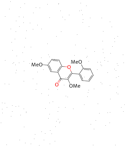 COc1ccc2oc(-c3ccccc3OC)c(OC)c(=O)c2c1